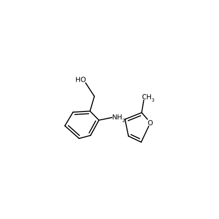 Cc1ccco1.Nc1ccccc1CO